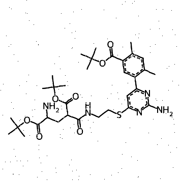 Cc1cc(C)c(-c2cc(SCCNC(=O)C(CC(N)C(=O)OC(C)(C)C)C(=O)OC(C)(C)C)nc(N)n2)cc1C(=O)OC(C)(C)C